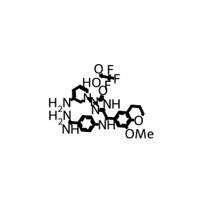 COc1cc(C(Nc2ccc(C(=N)N)cc2)c2nn(N3C=CC=C(N)C3)c(=O)[nH]2)cc2c1OCCC2.O=C(O)C(F)(F)F